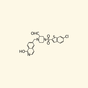 O=CC1CN(S(=O)(=O)c2cc3ccc(Cl)cc3s2)CCN1Cc1ccc2c(O)nccc2c1